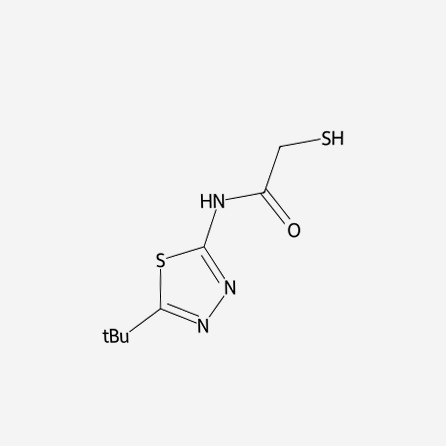 CC(C)(C)c1nnc(NC(=O)CS)s1